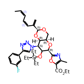 C=C(/C=C\C=C/C)[C@H]1OC[C@H]2O[C@@H](c3nc(C)c(C(=O)OCC)o3)C(O[Si](CC)(CC)CC)[C@@H](n3cc(-c4cccc(F)c4)nn3)[C@H]2O1